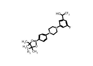 CC1(C)OB(c2ccc(N3CCN(c4cc(F)cc(C(O)C(F)(F)F)c4)CC3)cc2)OC1(C)C